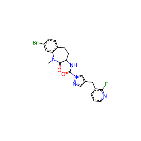 CN1C(=O)C(NC(=O)n2cc(Cc3cccnc3F)cn2)CCc2ccc(Br)cc21